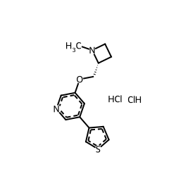 CN1CC[C@@H]1COc1cncc(-c2ccsc2)c1.Cl.Cl